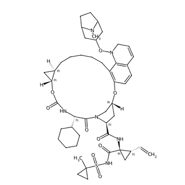 C=C[C@@H]1C[C@]1(NC(=O)[C@@H]1C[C@@H]2CN1C(=O)[C@H](C1CCCCC1)NC(=O)O[C@@H]1C[C@H]1CCCCCc1c(ccc3c1N(OC1CC4CCC(C1)N4C)CC=C3)O2)C(=O)NS(=O)(=O)C1(C)CC1